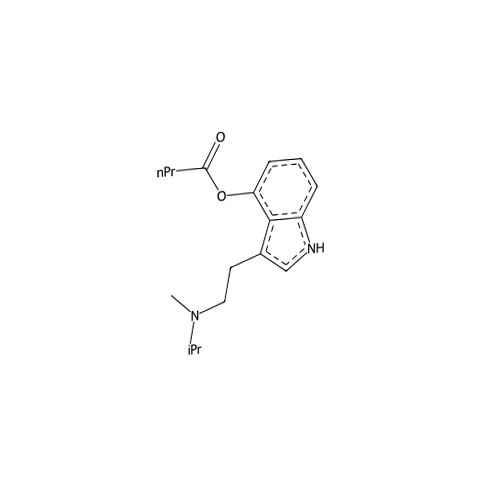 CCCC(=O)Oc1cccc2[nH]cc(CCN(C)C(C)C)c12